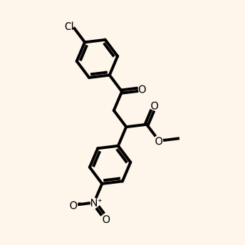 COC(=O)C(CC(=O)c1ccc(Cl)cc1)c1ccc([N+](=O)[O-])cc1